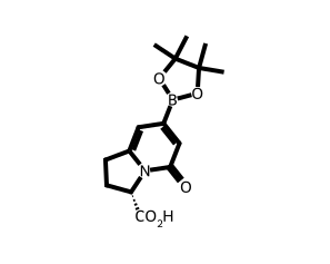 CC1(C)OB(c2cc3n(c(=O)c2)[C@H](C(=O)O)CC3)OC1(C)C